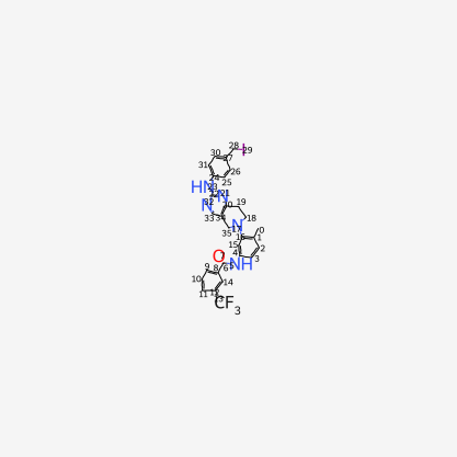 Cc1ccc(NC(=O)c2cccc(C(F)(F)F)c2)cc1N1CCc2nc(Nc3ccc(CI)cc3)ncc2C1